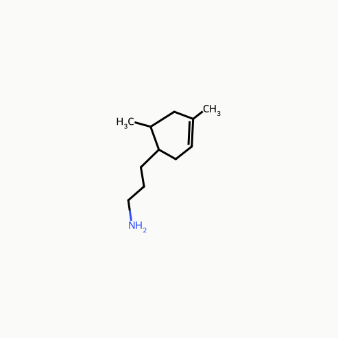 CC1=CCC(CCCN)C(C)C1